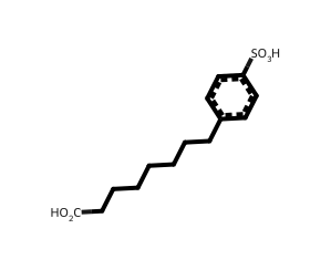 O=C(O)CCCCCCCc1ccc(S(=O)(=O)O)cc1